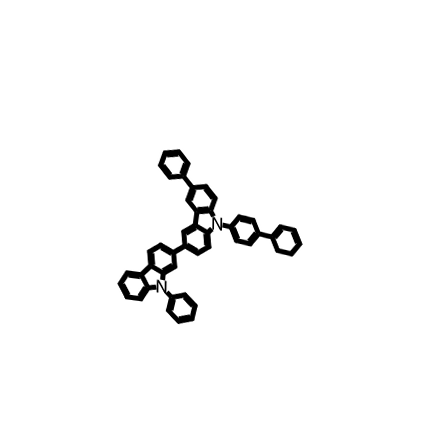 C1=CCCC(c2ccc(-n3c4ccc(-c5ccccc5)cc4c4cc(-c5ccc6c7ccccc7n(-c7ccccc7)c6c5)ccc43)cc2)=C1